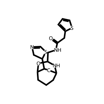 O=C(Cc1cccs1)NCC1NC2CCCC(O1)C(C1CN=CS1)C2